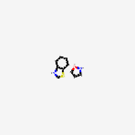 c1ccc2scnc2c1.c1cnoc1